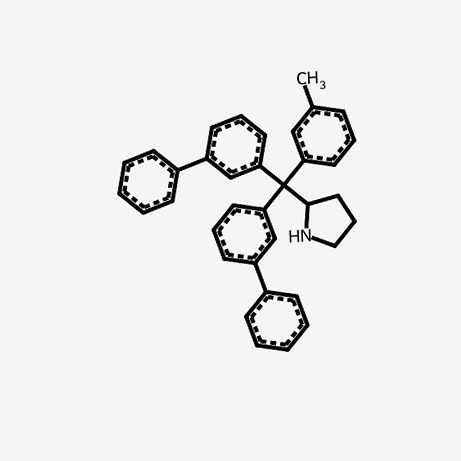 Cc1cccc(C(c2cccc(-c3ccccc3)c2)(c2cccc(-c3ccccc3)c2)C2CCCN2)c1